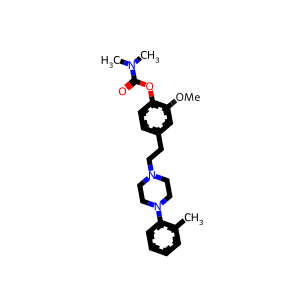 COc1cc(CCN2CCN(c3ccccc3C)CC2)ccc1OC(=O)N(C)C